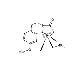 CCCCOc1ccc2c(c1)[C@@]13C[C@H](C)[C@@H](C[N+](=O)[O-])[C@@H]1CC(=O)N3CC2